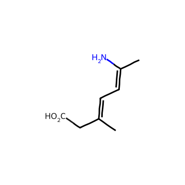 C/C(N)=C/C=C(\C)CC(=O)O